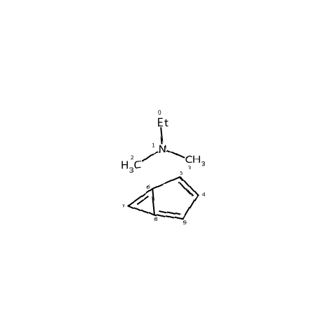 CCN(C)C.c1cc2cc-2c1